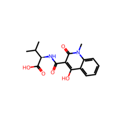 CC(C)[C@@H](NC(=O)c1c(O)c2ccccc2n(C)c1=O)C(=O)O